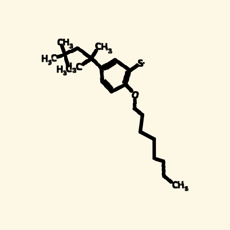 CCCCCCCCOc1ccc(C(C)(C)CC(C)(C)C)cc1[S]